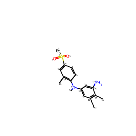 CCS(=O)(=O)c1ccc(N(C)c2cc(C)c(C)c(N)c2)c(C)c1